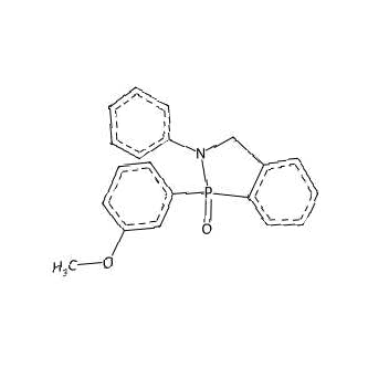 COc1cccc(P2(=O)c3ccccc3CN2c2ccccc2)c1